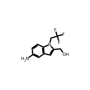 Nc1ccc2c(c1)cc(CO)n2CC(F)(F)F